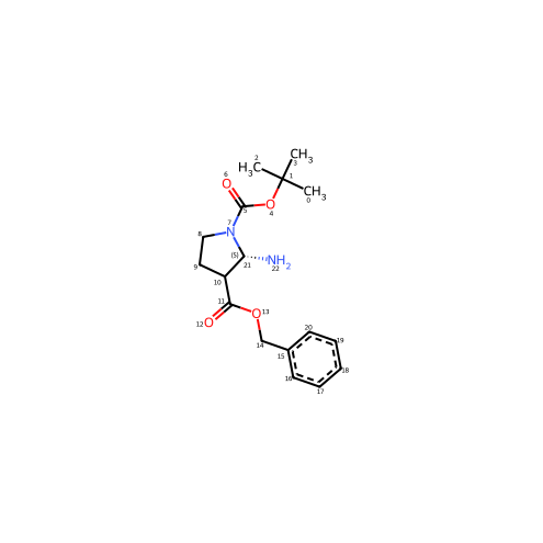 CC(C)(C)OC(=O)N1CCC(C(=O)OCc2ccccc2)[C@H]1N